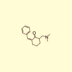 CN(C)CC1CCCC(=Cc2ccccc2)C1=O